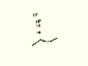 CCOC.F.F.F.F